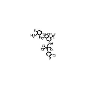 Nc1c(F)ccc(NC(=O)c2cc(NCC3(C=O)C(c4ccc(F)c(Cl)c4)C3(Cl)Cl)cc(C(F)(F)F)c2Cl)c1F